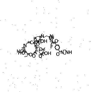 CC[C@H]1OC(=O)[C@H](C)[C@@H](C2C[C@@](C)(OC)[C@@H](O)[C@H](C)O2)[C@H](C)[C@@H](O[C@@H]2O[C@H](C)C[C@H](N(C)CCc3cn([C@H](CF)[C@H](OC)c4ccc(C(=O)N5CCNCC5)cc4)nn3)[C@H]2O)[C@](C)(O)C[C@@H](C)CN(C)[C@H](C)[C@@H](O)[C@]1(C)O